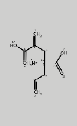 C=CC[C@@](N)(CC(=C)C(=O)O)C(=O)O